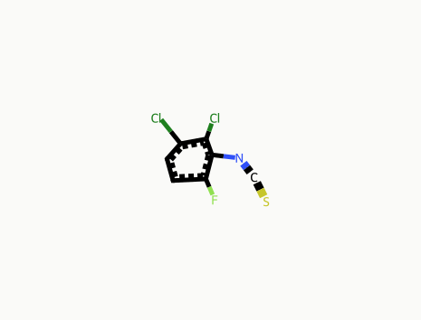 Fc1ccc(Cl)c(Cl)c1N=C=S